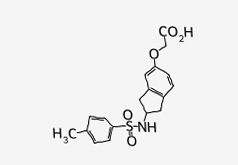 Cc1ccc(S(=O)(=O)NC2Cc3ccc(OCC(=O)O)cc3C2)cc1